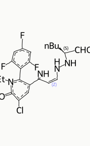 CCCC[C@@H](C=O)NN/C=C\C(=N)c1cc(Cl)c(=O)n(CC)c1-c1c(F)cc(F)cc1F